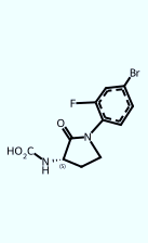 O=C(O)N[C@H]1CCN(c2ccc(Br)cc2F)C1=O